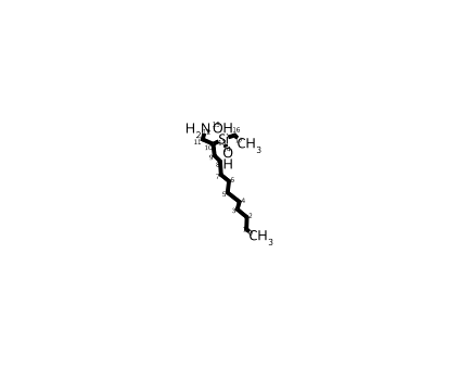 CCCCCCCCCCC(CN)[Si](O)(O)CC